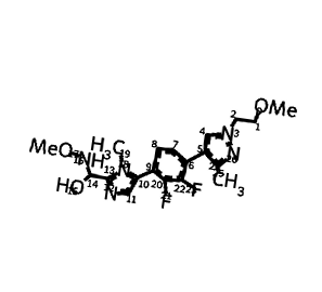 COCCn1cc(-c2ccc(-c3cnc(C(O)NOC)n3C)c(F)c2F)c(C)n1